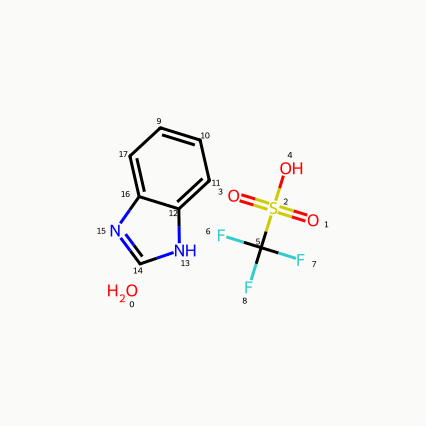 O.O=S(=O)(O)C(F)(F)F.c1ccc2[nH]cnc2c1